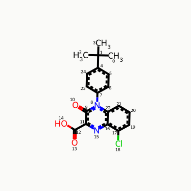 CC(C)(C)c1ccc(-n2c(=O)c(C(=O)O)nc3c(Cl)cccc32)cc1